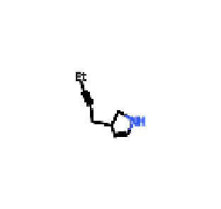 CCC#CCC1C=CNC1